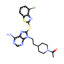 CC(=O)N1CCC(CCn2c(Sc3nc4c(Cl)cccc4s3)nc3c(N)ncnc32)CC1